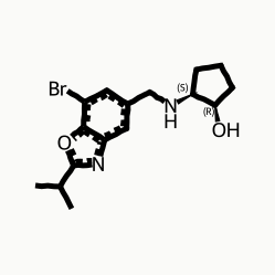 CC(C)c1nc2cc(CN[C@H]3CCC[C@H]3O)cc(Br)c2o1